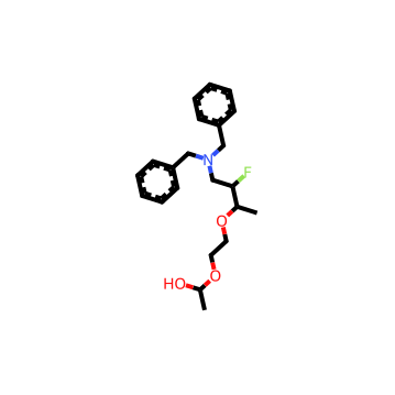 CC(O)OCCOC(C)C(F)CN(Cc1ccccc1)Cc1ccccc1